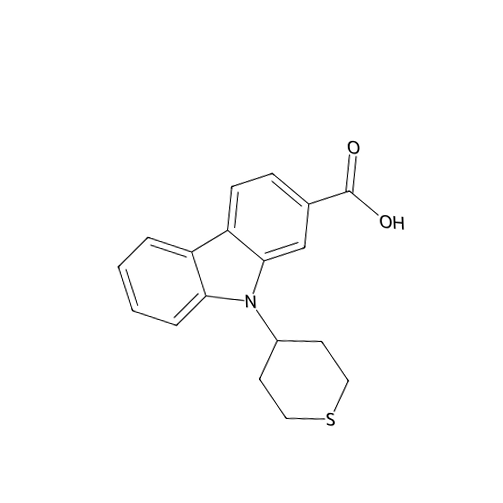 O=C(O)c1ccc2c3ccccc3n(C3CCSCC3)c2c1